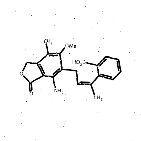 COc1c(C)c2c(c(N)c1CC=C(C)c1ccccc1C(=O)O)C(=O)OC2